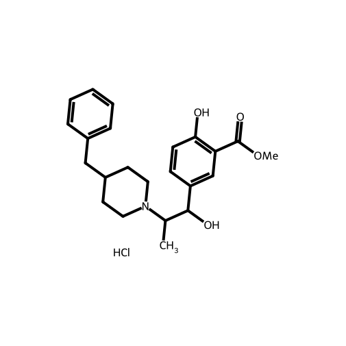 COC(=O)c1cc(C(O)C(C)N2CCC(Cc3ccccc3)CC2)ccc1O.Cl